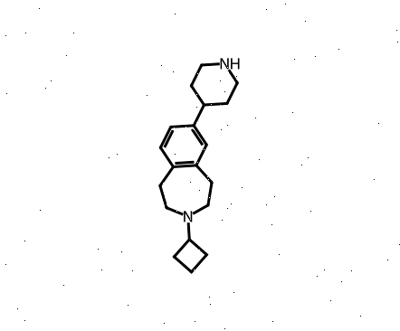 c1cc2c(cc1C1CCNCC1)CCN(C1CCC1)CC2